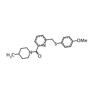 COc1ccc(SCc2cccc(C(=O)N3CCC(C)CC3)n2)cc1